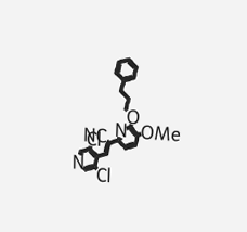 COc1ccc(C(C#N)=Cc2c(Cl)cncc2Cl)nc1OCCCc1ccccc1